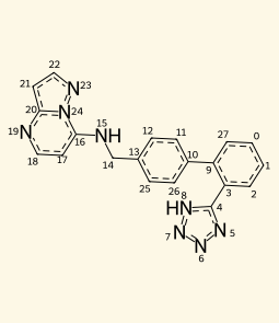 c1ccc(-c2nnn[nH]2)c(-c2ccc(CNc3ccnc4ccnn34)cc2)c1